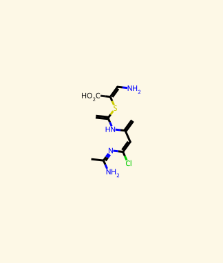 C=C(/C=C(Cl)\N=C(\C)N)NC(=C)S/C(=C\N)C(=O)O